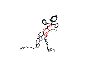 CCCCCCCCCCCCCCCCCCOC(C(=O)O)C(COC(c1ccccc1)(c1ccccc1)c1ccccc1)OC1CC[C@@]2(C)C(=CCC3C2CC[C@@]2(C)C3CC[C@@H]2[C@H](C)CCCC(C)C)C1